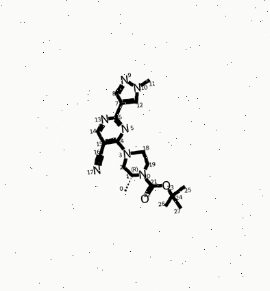 C[C@@H]1CN(c2nc(-c3cnn(C)c3)ncc2C#N)CCN1C(=O)OC(C)(C)C